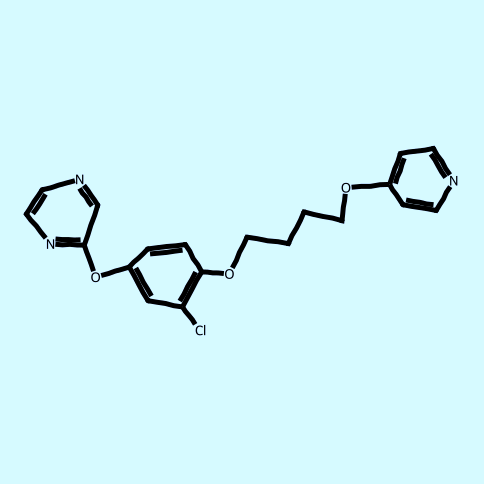 Clc1cc(Oc2cnccn2)ccc1OCCCCOc1ccncc1